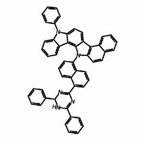 c1ccc(C2=NC(c3cccc4c(-n5c6ccc7ccccc7c6c6ccc7c(c8ccccc8n7-c7ccccc7)c65)cccc34)=NC(c3ccccc3)N2)cc1